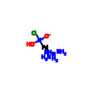 N.N.N.N.[O-][N+](O)(Cl)[Pd]